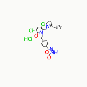 CC(C)C[C@H]1CCCN1Cc1c(Cl)cc(Cl)c(=O)n1CCc1ccc(-c2n[nH]c(=O)o2)cc1.Cl